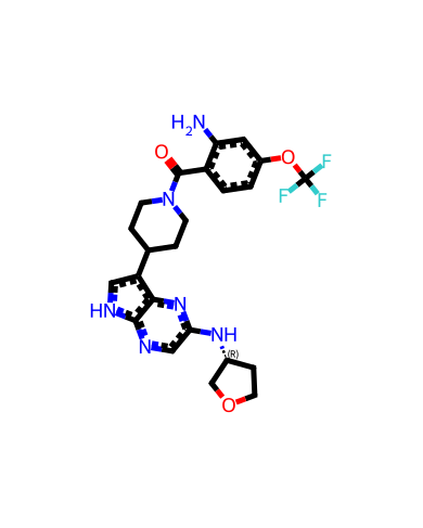 Nc1cc(OC(F)(F)F)ccc1C(=O)N1CCC(c2c[nH]c3ncc(N[C@@H]4CCOC4)nc23)CC1